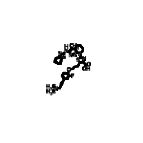 Cc1c(Nc2nc3ccccc3s2)nnc2c1CCCCN2c1nc(C(=O)O)c(CCCOc2ccc(C#CCN(C)C)cc2F)s1